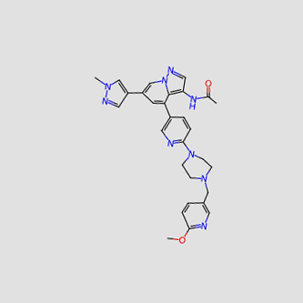 COc1ccc(CN2CCN(c3ccc(-c4cc(-c5cnn(C)c5)cn5ncc(NC(C)=O)c45)cn3)CC2)cn1